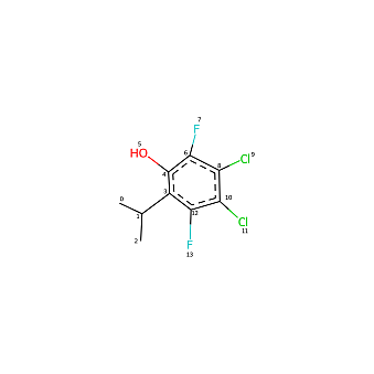 CC(C)c1c(O)c(F)c(Cl)c(Cl)c1F